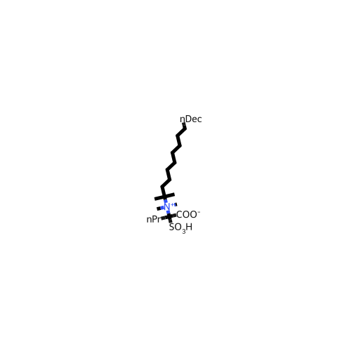 CCCCCCCCCCCCCCCCCCC(C)(C)[N+](C)(C)C(CCC)(C(=O)[O-])S(=O)(=O)O